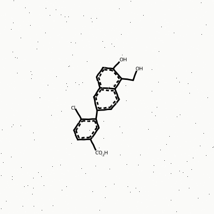 O=C(O)c1ccc(Cl)c(-c2ccc3c(CO)c(O)ccc3c2)c1